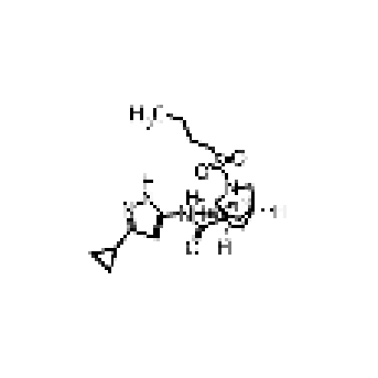 CCCCS(=O)(=O)N1C[C@H]2CC[C@@H]1[C@H](C(=O)Nc1cc(C3CC3)n[nH]1)C2